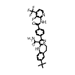 CC(C)(C)c1ccc2c(c1)CCn1nc(-c3ccc(C(=O)Nc4nccc(C(F)(F)F)c4F)cc3)c(C(N)=O)c1N2